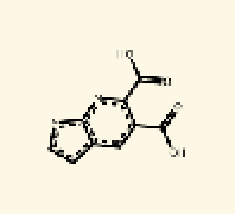 O=C(O)c1cc2ccsc2nc1C(=O)O